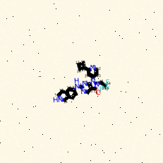 O=c1c2cnc(Nc3ccc4c(c3)CCNC4)nc2n(-c2ccnc(C3CCC3)c2)n1CC(F)(F)F